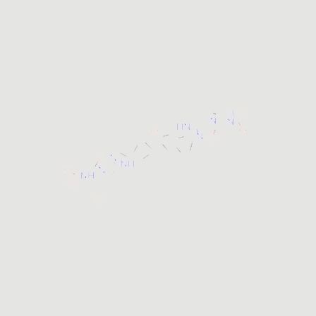 COC[C@H]1C[C@@H](c2ncc(-c3ccc4c(c3)COc3cc5c(ccc6nc([C@@H]7CC[C@H](C)N7C(=O)C(NC(=O)OC)C(C)C)[nH]c65)cc3-4)[nH]2)N(C(=O)C(NC(=O)OC)C(C)C)C1